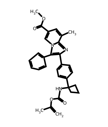 C=C(C)OC(=O)NC1(c2ccc(-c3nc4c(C)cc(C(=O)OC)cn4c3-c3ccccc3)cc2)CCC1